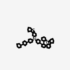 c1ccc(-c2ccc(-c3ccc(N(c4ccc(-c5ccccc5-c5ccccc5-n5c6ccccc6c6ccccc65)cc4)c4ccc5sc6ccccc6c5c4)cc3)cc2)cc1